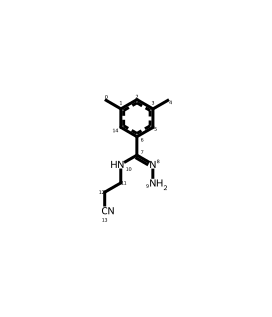 Cc1cc(C)cc(/C(=N/N)NCCC#N)c1